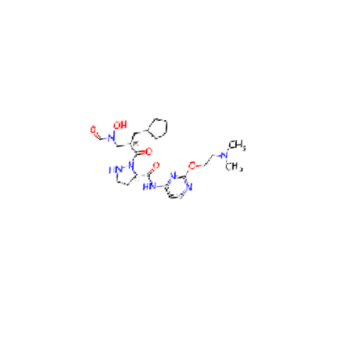 CN(C)CCOc1nccc(NC(=O)[C@@H]2CCNN2C(=O)[C@H](CC2CCCC2)CN(O)C=O)n1